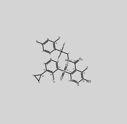 Cc1ccc(C(F)(F)CNC(=O)c2c(S(=O)(=O)c3cccc(C4CC4)c3F)nnc(Cl)c2C)c(C)c1